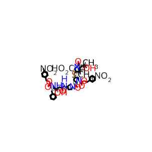 C[C@@H](O)[C@H]1C(=O)N2C(C(=O)O)=C(S[C@H]3C[C@@H](C(=O)N4CC[C@H](NC(=O)C[C@@H](O)[C@H](Cc5ccccc5)NC(=O)OCc5ccc([N+](=O)[O-])cc5)C4)N(C(=O)OCc4ccc([N+](=O)[O-])cc4)C3)[C@H](C)[C@H]12